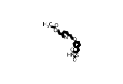 CCC(=O)OCCc1ccc(CCOc2ccc(CC3SC(=O)NC3=O)cc2)nc1